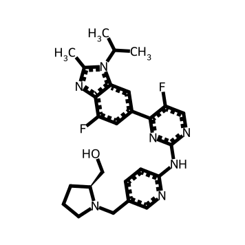 Cc1nc2c(F)cc(-c3nc(Nc4ccc(CN5CCC[C@H]5CO)cn4)ncc3F)cc2n1C(C)C